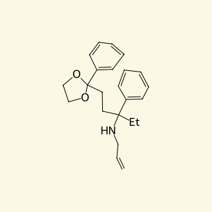 C=CCNC(CC)(CCC1(c2ccccc2)OCCO1)c1ccccc1